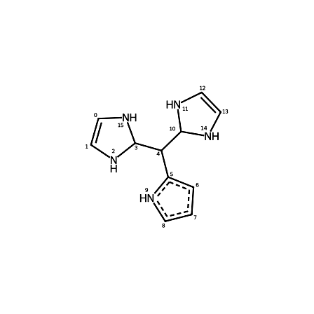 C1=CNC(C(c2ccc[nH]2)C2NC=CN2)N1